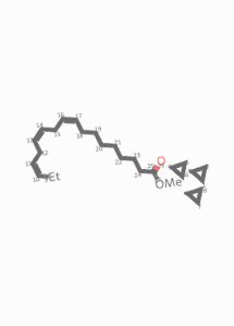 C1CC1.C1CC1.C1CC1.CC/C=C\C/C=C\C/C=C\CCCCCCCC(=O)OC